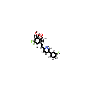 C[C@H]1OC(=O)[C@@H]2CC(F)(F)[C@@H](C)[C@H](/C=C/c3ccc(-c4cccc(F)c4)cn3)[C@H]12